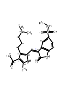 CNS(=O)(=O)c1ccc2c(c1)/C(=C/c1[nH]c(C)c(C(=O)O)c1CCCN(C)C)C(=O)N2